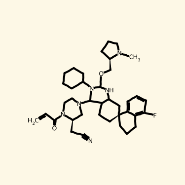 C=CC(=O)N1CCN(C2C3CC[C@@]4(CCCc5c(F)cccc54)CC3NC(OC[C@H]3CCCN3C)N2C2CCCCC2)C[C@H]1CC#N